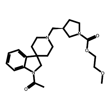 COCCOC(=O)N1CC[C@H](CN2CCC3(CC2)CN(C(C)=O)c2ccccc23)C1